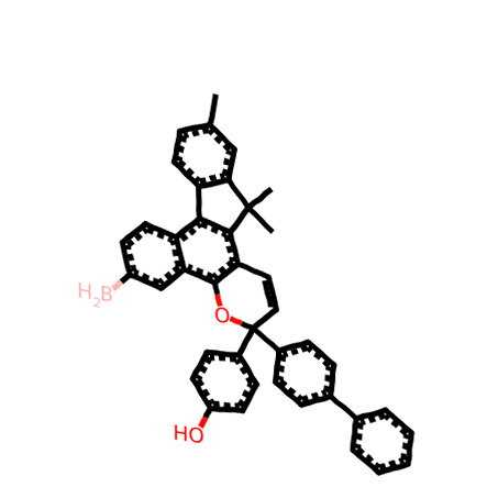 Bc1ccc2c3c(c4c(c2c1)OC(c1ccc(O)cc1)(c1ccc(-c2ccccc2)cc1)C=C4)C(C)(C)c1cc(C)ccc1-3